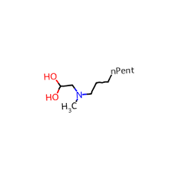 CCCCCCCCN(C)CC(O)O